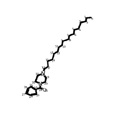 CCCCCCCCCCCCCCCCCCN1CCN(C(=O)c2ccccc2)CC1